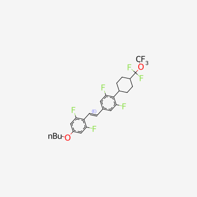 CCCCOc1cc(F)c(/C=C/c2cc(F)c(C3CCC(C(F)(F)OC(F)(F)F)CC3)c(F)c2)c(F)c1